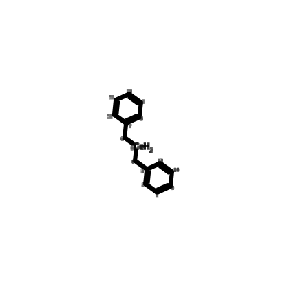 c1ccc([CH2][GeH2][CH2]c2ccccc2)cc1